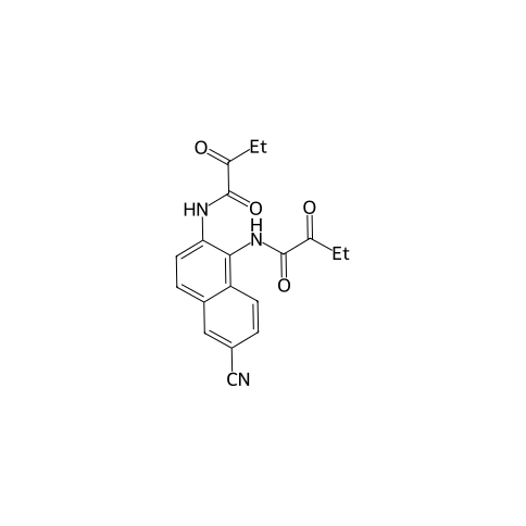 CCC(=O)C(=O)Nc1ccc2cc(C#N)ccc2c1NC(=O)C(=O)CC